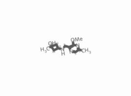 COc1nc(C)cnc1CNC1CC(C)(O)C1